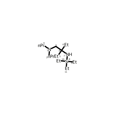 CCCN(CCC)CC(CC)(CC)N[Si](CC)(CC)CC